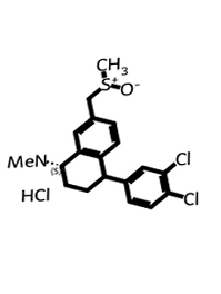 CN[C@H]1CCC(c2ccc(Cl)c(Cl)c2)c2ccc(C[S+](C)[O-])cc21.Cl